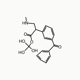 CNCC(C(=O)OC(O)(O)O)c1cccc(C(=O)c2ccccc2)c1